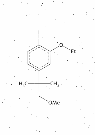 CCOc1cc(C(C)(C)COC)ccc1I